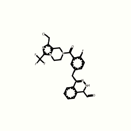 O=CC1NN=C(Cc2ccc(F)c(C(=O)N3CCn4c(C(F)(F)F)nc(CCl)c4C3)c2)c2ccccc21